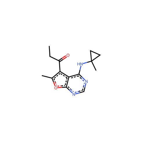 CCC(=O)c1c(C)oc2ncnc(NC3(C)CC3)c12